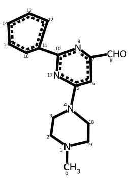 CN1CCN(c2cc(C=O)nc(-c3ccccc3)n2)CC1